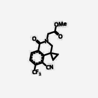 COC(=O)CN1CC2(CC2)c2c(ccc(C(F)(F)F)c2C#N)C1=O